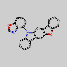 c1cc(-n2c3ccccc3c3cc4oc5ccccc5c4cc32)c2ncoc2c1